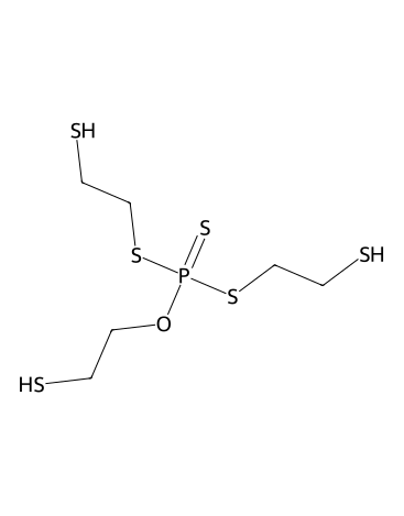 S=P(OCCS)(SCCS)SCCS